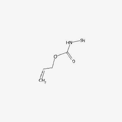 C=CCOC(=O)NS